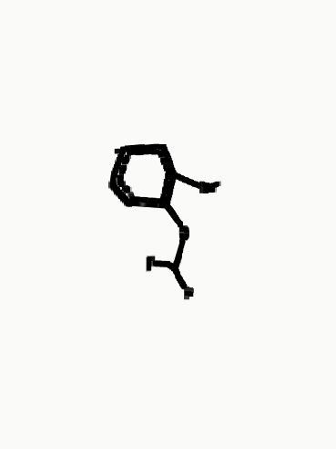 FC(F)Oc1cc[c]cc1Br